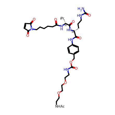 CC(=O)NCCOCCOCCNC(=O)OCc1ccc(NC(=O)[C@@H](CCCNC(N)=O)NC(=O)[C@H](NC(=O)CCCCCN2C(=O)C=CC2=O)C(C)C)cc1